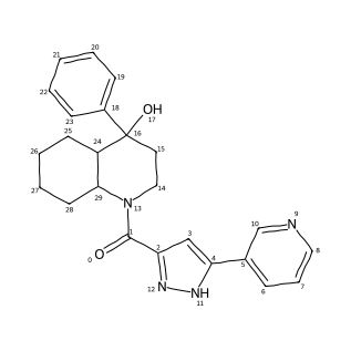 O=C(c1cc(-c2cccnc2)[nH]n1)N1CCC(O)(c2ccccc2)C2CCCCC21